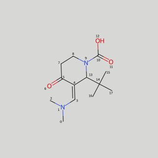 CN(C)C=C1C(=O)CCN(C(=O)O)C1C(C)(C)C